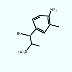 CCN(c1ccc(N)c(C)c1)C(C)S(=O)(=O)O